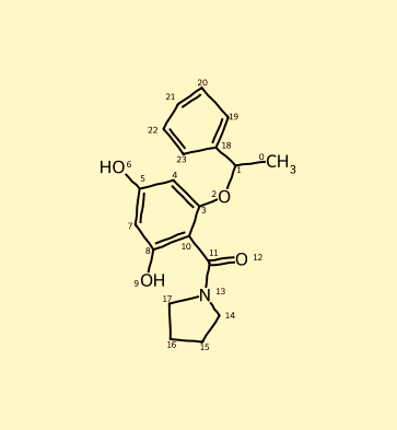 CC(Oc1cc(O)cc(O)c1C(=O)N1CCCC1)c1ccccc1